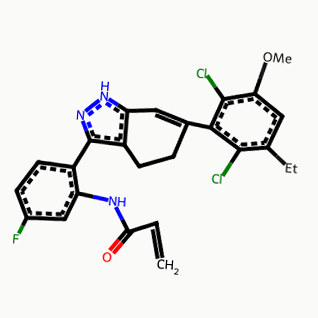 C=CC(=O)Nc1cc(F)ccc1-c1n[nH]c2c1CCC(c1c(Cl)c(CC)cc(OC)c1Cl)=C2